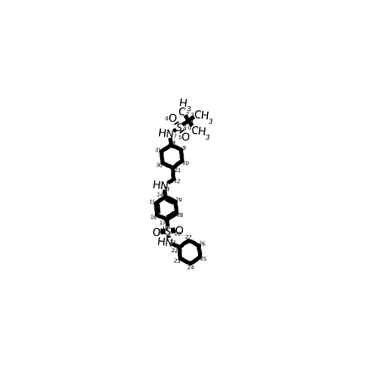 CC(C)(C)S(=O)(=O)NC1CCC(CNc2ccc(S(=O)(=O)NC3CCCCC3)cc2)CC1